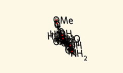 COCCOCCSCC(=O)N[C@@H]1C(O)C[C@](C=O)(OP(=O)(O)OCC2OC(n3ccc(N)nc3=O)[C@H](O)[C@@H]2O)OC1[C@H](O)[C@H](O)CO